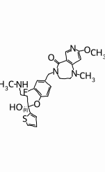 CNCC[C@@](O)(Oc1ccc(CN2CCN(C)c3cc(OC)ncc3C2=O)cc1F)c1cccs1